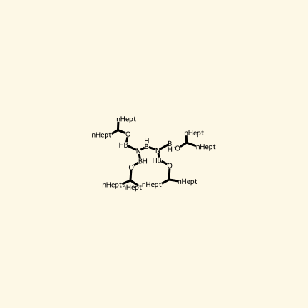 CCCCCCCC(CCCCCCC)OBN(BOC(CCCCCCC)CCCCCCC)BN(BOC(CCCCCCC)CCCCCCC)BOC(CCCCCCC)CCCCCCC